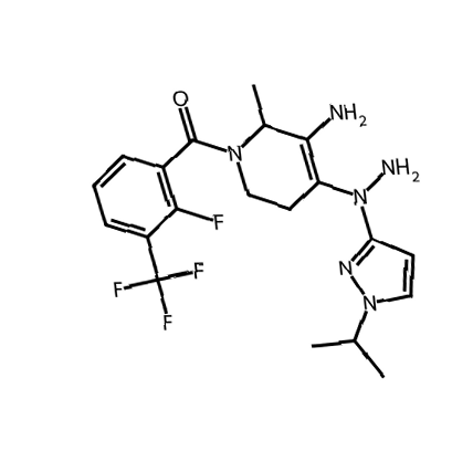 CC1C(N)=C(N(N)c2ccn(C(C)C)n2)CCN1C(=O)c1cccc(C(F)(F)F)c1F